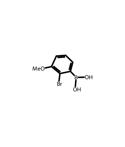 COc1cccc(B(O)O)c1Br